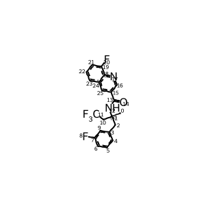 C[C@@](Cc1cccc(F)c1)(CC(F)(F)F)NC(=O)c1cnc2c(F)cccc2c1